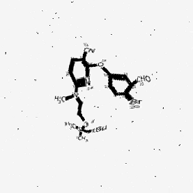 CN(CCO[Si](C)(C)C(C)(C)C)c1ccc(C#N)c(Oc2ccc(Br)c(C=O)c2)n1